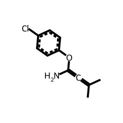 CC(C)=C=C(N)Oc1ccc(Cl)cc1